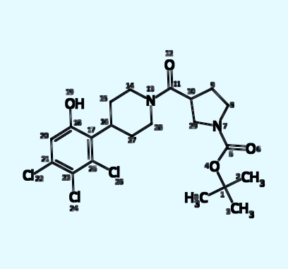 CC(C)(C)OC(=O)N1CCC(C(=O)N2CCC(c3c(O)cc(Cl)c(Cl)c3Cl)CC2)C1